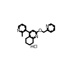 Cc1ncccc1-c1cc(OCc2ccccn2)nc2c1CCCC2.Cl